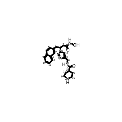 O=C(CC(Cc1ccc2ccccc2c1)n1cc(CNC(=O)C2CCNCC2)nn1)NO